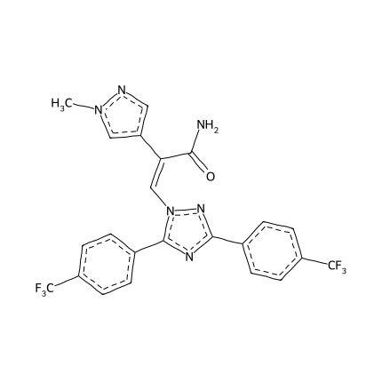 Cn1cc(C(=Cn2nc(-c3ccc(C(F)(F)F)cc3)nc2-c2ccc(C(F)(F)F)cc2)C(N)=O)cn1